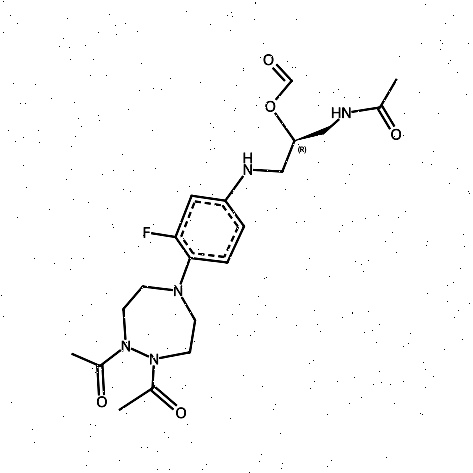 CC(=O)NC[C@@H](CNc1ccc(N2CCN(C(C)=O)N(C(C)=O)CC2)c(F)c1)OC=O